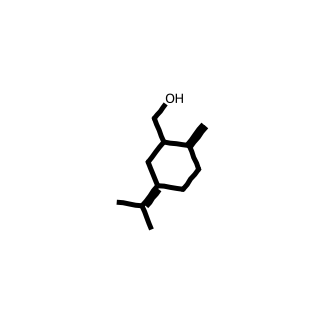 C=C1CCC(=C(C)C)CC1CO